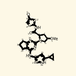 COC1CC(C(=O)Nc2ncc(Cl)s2)N(c2nc3c(c(Nc4cc(C5CC5)[nH]n4)n2)CCC3)C1